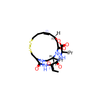 C/C=C1/NC(=O)C2CSSCC/C=C\[C@H](CC(=O)N[C@H](C(C)C)C(=O)N2)OC(=O)C(C(C)C)NC1=O